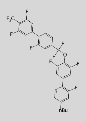 CCCCc1ccc(-c2cc(F)c(OC(F)(F)c3ccc(-c4cc(F)c(C(F)(F)F)c(F)c4)c(F)c3)c(F)c2)c(F)c1